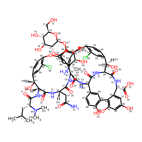 CC(C)C[C@H](C(=O)N[C@H]1C(=O)N[C@@H](CC(N)=O)C(=O)N[C@H]2C(=O)N[C@H]3C(=O)N[C@H](C(=O)N[C@H](C(=O)O)c4cc(O)cc(O)c4-c4cc3ccc4O)[C@H](O)c3ccc(c(Cl)c3)Oc3cc2cc(c3O[C@@H]2O[C@H](CO)[C@@H](O)[C@H](O)[C@H]2OC2C[C@](C)(N)[C@H](O)[C@H](C)O2)Oc2ccc(cc2Cl)[C@H]1O)N(C)C